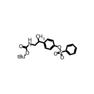 C[C](CNC(=O)OC(C)(C)C)c1ccc(OS(=O)(=O)c2ccccc2)cc1